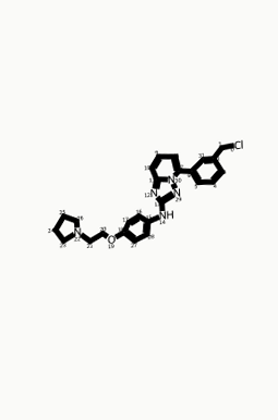 ClCc1cccc(-c2cccc3nc(Nc4ccc(OCCN5CCCC5)cc4)nn23)c1